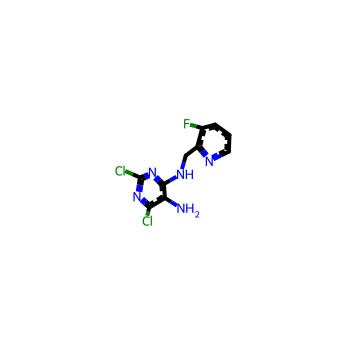 Nc1c(Cl)nc(Cl)nc1NCc1ncccc1F